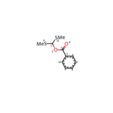 CSC(OC(=O)c1ccccc1)SC